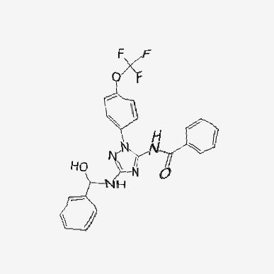 O=C(Nc1nc(NC(O)c2ccccc2)nn1-c1ccc(OC(F)(F)F)cc1)c1ccccc1